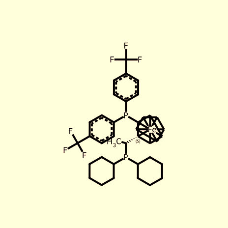 CC(P(C1CCCCC1)C1CCCCC1)[C@]12[CH]3[CH]4[CH]5[C]1(P(c1ccc(C(F)(F)F)cc1)c1ccc(C(F)(F)F)cc1)[Fe]45321678[CH]2[CH]1[CH]6[CH]7[CH]28